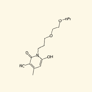 CCCOCCOCCCn1c(O)cc(C)c(C#N)c1=O